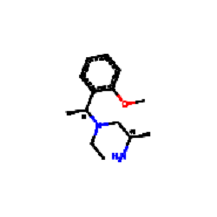 CCN(C[C@@H](C)N)[C@@H](C)c1ccccc1OC